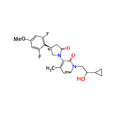 COc1cc(F)c([C@H]2CC(=O)N(c3c(C)ccn(CC(O)C4CC4)c3=O)C2)c(F)c1